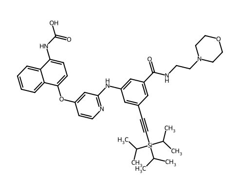 CC(C)[Si](C#Cc1cc(Nc2cc(Oc3ccc(NC(=O)O)c4ccccc34)ccn2)cc(C(=O)NCCN2CCOCC2)c1)(C(C)C)C(C)C